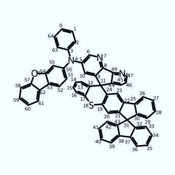 c1ccc(N(c2cnc3c(c2)C2(c4ccccc4Sc4cc5c(cc42)-c2ccccc2C52c4ccccc4-c4ccccc42)c2cccnc2-3)c2ccc3c(c2)oc2ccccc23)cc1